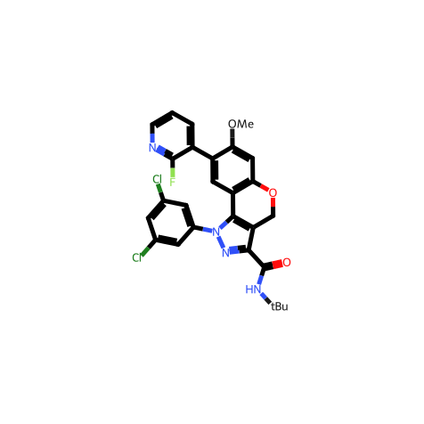 COc1cc2c(cc1-c1cccnc1F)-c1c(c(C(=O)NC(C)(C)C)nn1-c1cc(Cl)cc(Cl)c1)CO2